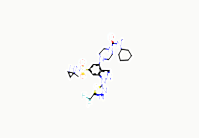 CN(C(=O)N1CCN(c2cc(S(=O)(=O)NC3(C)CC3)cc3c2cnn3-c2nnc(C(F)F)s2)CC1)C1CCCCC1